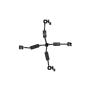 CC#C[B-](C#CC)(C#CCC)C#CCC